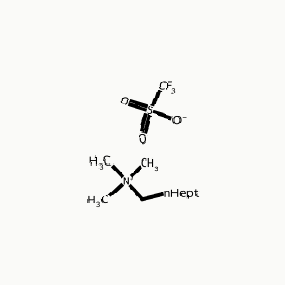 CCCCCCCC[N+](C)(C)C.O=S(=O)([O-])C(F)(F)F